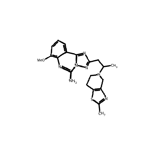 COc1cccc2c1nc(N)n1nc(CC(C)N3CCc4sc(C)nc4C3)nc21